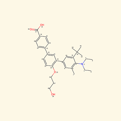 CCN(CC)c1c(C)cc(-c2cc(-c3ccc(C(=O)O)cc3)ccc2OCCCO)cc1C(C)(C)C